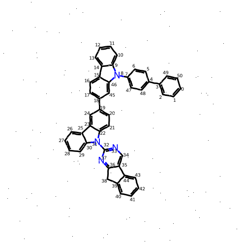 c1ccc(-c2ccc(-n3c4ccccc4c4ccc(-c5ccc6c(c5)c5ccccc5n6-c5ncc6c(n5)Cc5ccccc5-6)cc43)cc2)cc1